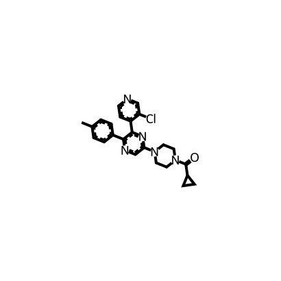 Cc1ccc(-c2ncc(N3CCN(C(=O)C4CC4)CC3)nc2-c2ccncc2Cl)cc1